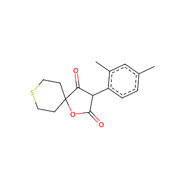 Cc1ccc(C2C(=O)OC3(CCSCC3)C2=O)c(C)c1